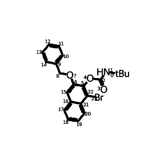 CC(C)(C)NC(=O)Oc1c(OCc2ccccc2)cc2ccccc2c1Br